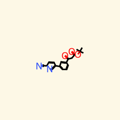 CC(C)(C)OC(=O)CC(=O)c1cccc(-c2ccc(C#N)nc2)c1